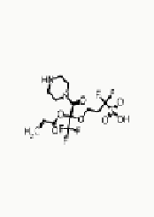 C=CC(=O)OC(OCCC(F)(F)S(=O)(=O)O)(C(=O)N1CCNCC1)C(F)(F)F